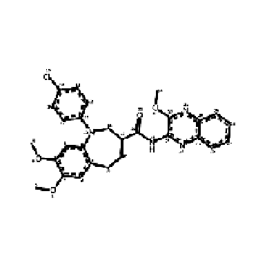 COc1cc2c(cc1OC)N(c1ccc(Cl)cc1)CC(C(=O)Nc1nc3ccccc3nc1OC)CC2